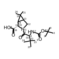 CC(C)(C)OC(=O)N[C@H](C(=O)N1CC2C([C@H]1C(=O)O)C2(C)C)C(C)(C)C